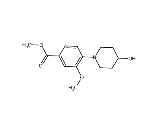 COC(=O)c1ccc(N2CCC(O)CC2)c(OC)c1